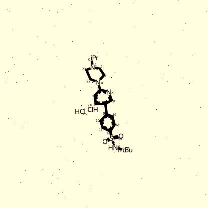 CC(C)N1CCN(c2ccc(-c3ccc(S(=O)(=O)NC(C)(C)C)cc3)cn2)CC1.Cl.Cl